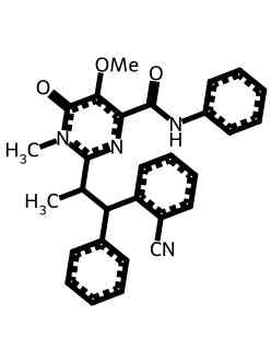 COc1c(C(=O)Nc2ccccc2)nc(C(C)C(c2ccccc2)c2ccccc2C#N)n(C)c1=O